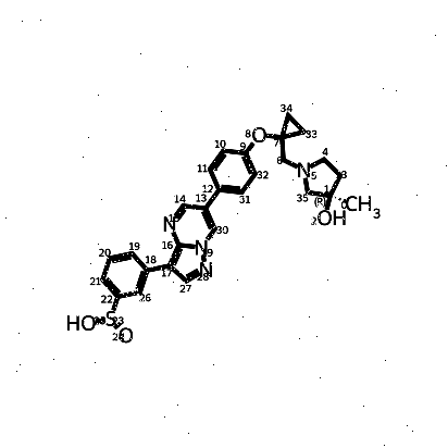 C[C@@]1(O)CCN(CC2(Oc3ccc(-c4cnc5c(-c6cccc(S(=O)O)c6)cnn5c4)cc3)CC2)C1